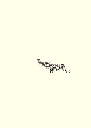 CCCCC(=O)C1CCC(C(C#N)CC2CCC(CCCF)CC2)CC1